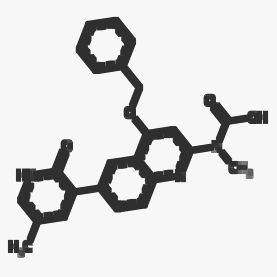 Cc1c[nH]c(=O)c(-c2ccc3nc(N(C)C(=O)O)cc(OCc4ccccc4)c3c2)c1